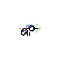 NC1C[C@H]2CC[C@@H](C1)N2Cc1ccc(C(F)(F)F)cc1